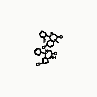 CN1C(=O)CN=C(c2ccccc2F)c2cc(Cl)ccc21.O=C1CN=C(c2ccccc2)c2cc(Cl)ccc2N1